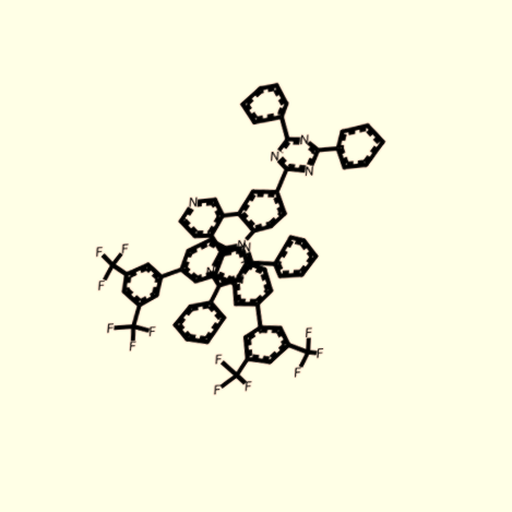 FC(F)(F)c1cc(-c2ccc3c(c2)c2cc(-c4cc(C(F)(F)F)cc(C(F)(F)F)c4)ccc2n3-c2ccc(-c3nc(-c4ccccc4)nc(-c4ccccc4)n3)cc2-c2cnccc2-c2nc(-c3ccccc3)nc(-c3ccccc3)n2)cc(C(F)(F)F)c1